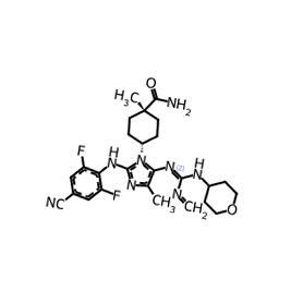 C=N/C(=N\c1c(C)nc(Nc2c(F)cc(C#N)cc2F)n1[C@H]1CC[C@@](C)(C(N)=O)CC1)NC1CCOCC1